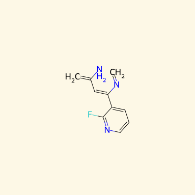 C=N/C(=C\C(=C)N)c1cccnc1F